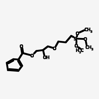 CO[Si](CCCOCC(O)COC(=O)c1ccccc1)(OC)OC